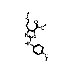 COCCc1nc(Nc2ccc(OC)cc2)sc1C(=O)OC